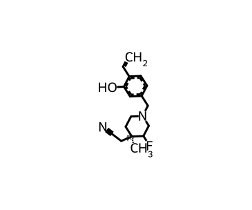 C=Cc1ccc(CN2CC[C@](C)(CC#N)C(F)C2)cc1O